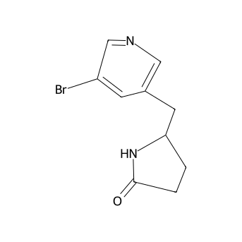 O=C1CCC(Cc2cncc(Br)c2)N1